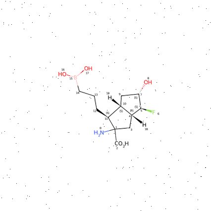 NC1(C(=O)O)C[C@H]2[C@H](F)[C@@H](O)C[C@H]2[C@@H]1CCCB(O)O